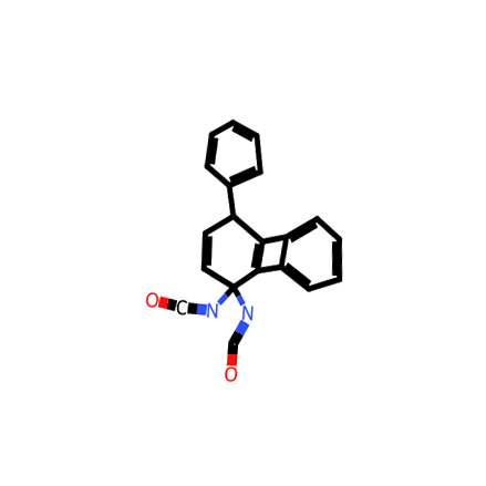 O=C=NC1(N=C=O)C=CC(c2ccccc2)C2=C1c1ccccc12